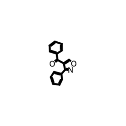 O=C(c1ccccc1)c1conc1-c1ccccc1